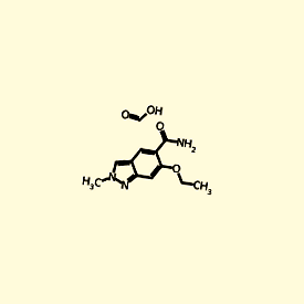 CCOc1cc2nn(C)cc2cc1C(N)=O.O=CO